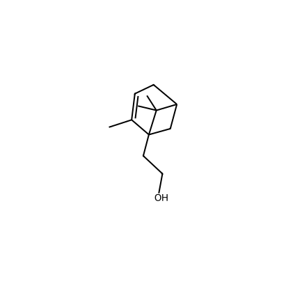 CC1=CCC2CC1(CCO)C2(C)C